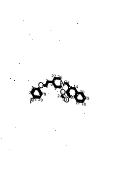 Fc1ccc(OCCC2CCN(CC(Cc3ccccc3)C3=COCO3)CC2)cc1